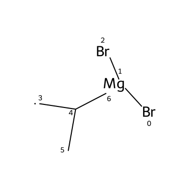 [Br][Mg][Br].[CH2]C(C)C